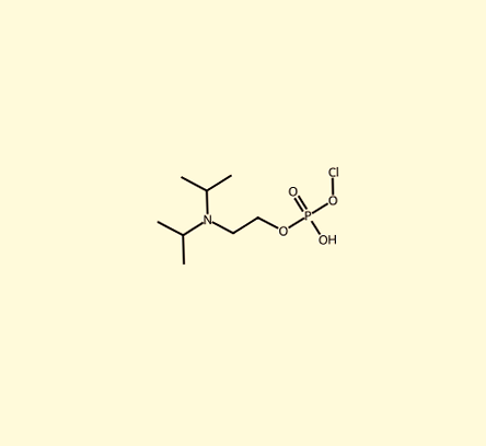 CC(C)N(CCOP(=O)(O)OCl)C(C)C